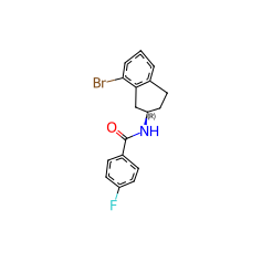 O=C(N[C@@H]1CCc2cccc(Br)c2C1)c1ccc(F)cc1